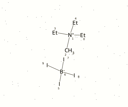 CC[N+](C)(CC)CC.I[B-](I)(I)I